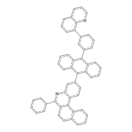 c1ccc(-c2nc3cc(-c4c5ccccc5c(-c5cccc(-c6cccc7cccnc67)c5)c5ccccc45)ccc3c3c2ccc2ccccc23)cc1